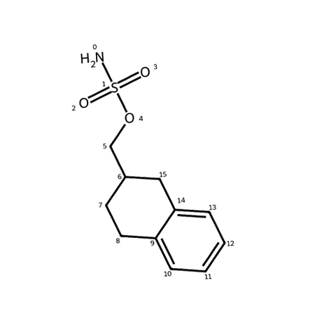 NS(=O)(=O)OCC1CCc2ccccc2C1